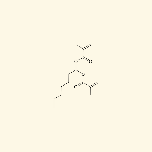 C=C(C)C(=O)OC(CCCCCC)OC(=O)C(=C)C